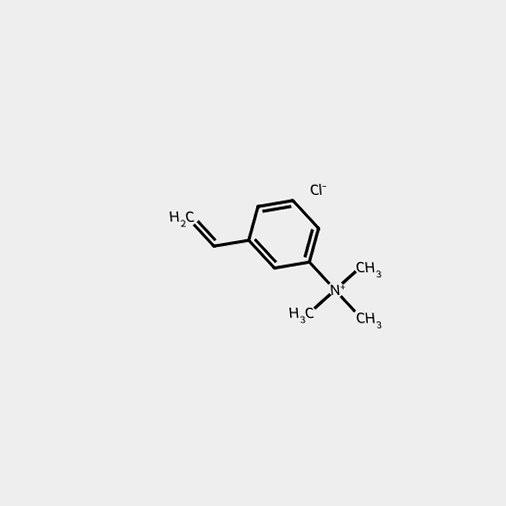 C=Cc1cccc([N+](C)(C)C)c1.[Cl-]